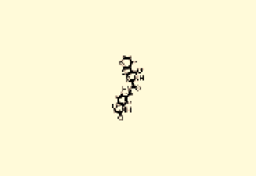 O=C1COc2ccc(CNC(=O)c3nc4sc5c(c4c(=O)[nH]3)CCCS5)cc2N1